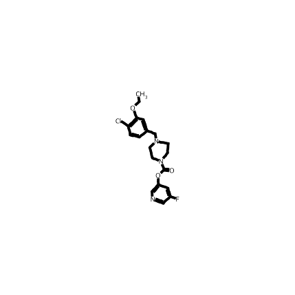 CCOc1cc(CN2CCN(C(=O)Oc3cncc(F)c3)CC2)ccc1Cl